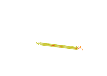 PCOS(=S)(=S)SSSSSSSSSSSSSSSSSSSSSSSSSSSSSSSSSSSSSSSSSSSSSSSSSSSSSSSSSSSSSSSSSSSSSSS